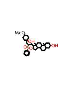 COC1CCC(O)(CC(CC2CCC3C4CCC5CC(O)CCC5(C)C4CCC23C)S(=O)(=O)c2ccccc2)CC1